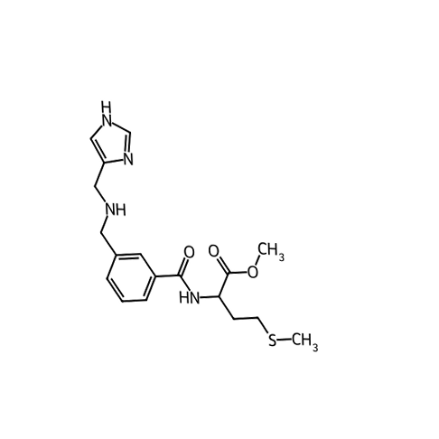 COC(=O)C(CCSC)NC(=O)c1cccc(CNCc2c[nH]cn2)c1